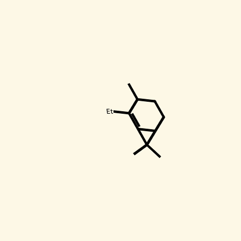 CCC1=C2C(CCC1C)C2(C)C